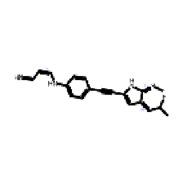 C/N=C1/NC(C#Cc2ccc(N/C=C\C=N)cc2)=C/C1=C/C(C)F